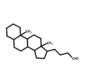 CC12CCCCC1CCC1C2CCC2(C)C(CCCC=O)CCC12